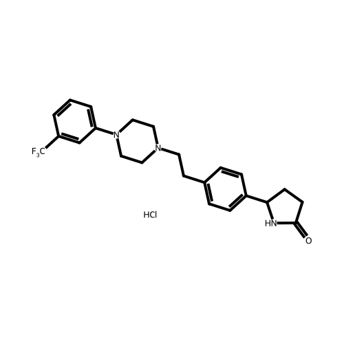 Cl.O=C1CCC(c2ccc(CCN3CCN(c4cccc(C(F)(F)F)c4)CC3)cc2)N1